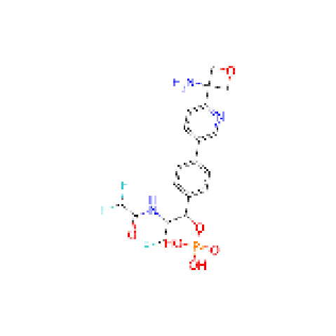 NC1(c2ccc(-c3ccc(C(OP(=O)(O)O)C(CF)NC(=O)C(F)F)cc3)cn2)COC1